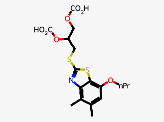 CCCOc1cc(C)c(C)c2nc(SCC(COC(=O)O)OC(=O)O)sc12